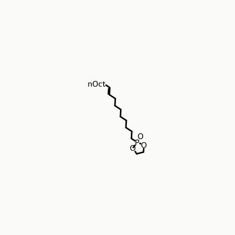 CCCCCCCCC=CCCCCCCCCP1(=O)OCCO1